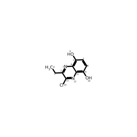 CCc1nc2c(O)ccc(O)c2nc1Cl